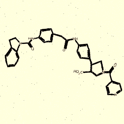 O=C(Cc1ccc(NC(=O)N2CCc3ccccc32)cc1)Nc1ccc(C2CN(C(=O)c3ccncc3)CC2C(=O)O)cc1